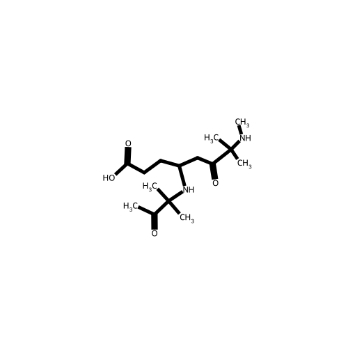 CNC(C)(C)C(=O)CC(CCC(=O)O)NC(C)(C)C(C)=O